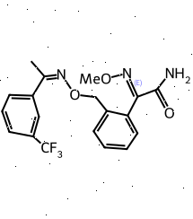 CO/N=C(/C(N)=O)c1ccccc1CON=C(C)c1cccc(C(F)(F)F)c1